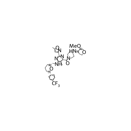 CO[C@@H]1COCC[C@@H]1NC1CCN(C(=O)c2nc(-c3cc(C)on3)nc(NC[C@H]3CCC[C@@H](c4ccc(C(F)(F)F)cc4)O3)c2C)CC1